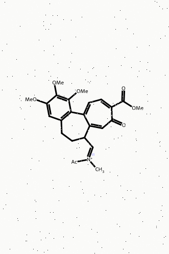 COC(=O)c1ccc2c(cc1=O)C(/C=[N+](/C)C(C)=O)CCc1cc(OC)c(OC)c(OC)c1-2